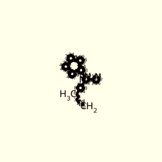 C=N/C=C\C=C(/C)c1ccc(-c2cc(-c3cccnc3)nc(-c3ccc4c5ccccc5c5ccccc5c5ccccc5c5ccccc5c4c3)n2)cc1